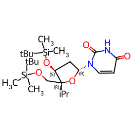 CC(C)[C@]1(CO[Si](C)(C)C(C)(C)C)O[C@@H](n2ccc(=O)[nH]c2=O)C[C@@H]1O[Si](C)(C)C(C)(C)C